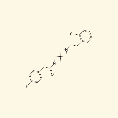 O=C(Cc1ccc(F)cc1)N1CC2(CN(CCc3ccccc3Cl)C2)C1